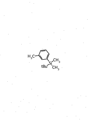 Cc1cccc([Si](C)(C)C(C)(C)C)c1